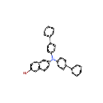 Brc1ccc2cc(N(c3ccc(-c4ccccc4)cc3)c3ccc(-c4ccccc4)cc3)ccc2c1